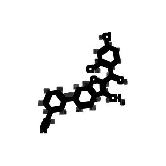 Cc1c(C(=O)c2ccc(Cl)cc2Cl)oc2cc(-c3cccc(C#N)c3)ccc12